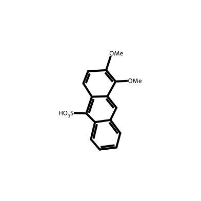 COc1ccc2c(S(=O)(=O)O)c3ccccc3cc2c1OC